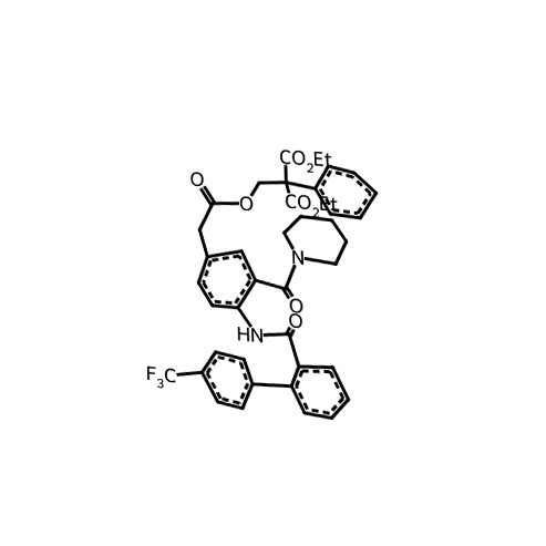 CCOC(=O)C(COC(=O)Cc1ccc(NC(=O)c2ccccc2-c2ccc(C(F)(F)F)cc2)c(C(=O)N2CCCCC2)c1)(C(=O)OCC)c1ccccc1